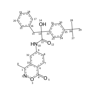 Cc1noc(=O)c2ccc(NC(=O)C(O)(Cc3ccccc3)c3ccc(C(C)(C)C)cc3)cc12